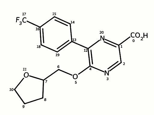 O=C(O)c1cnc(OCC2CCCO2)c(-c2ccc(C(F)(F)F)cc2)n1